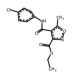 CCOC(=O)c1noc(C)c1C(=O)Nc1ccc(Cl)cc1